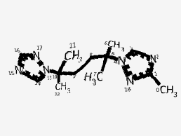 Cc1ncn(C(C)(C)CCC(C)(C)n2cncn2)n1